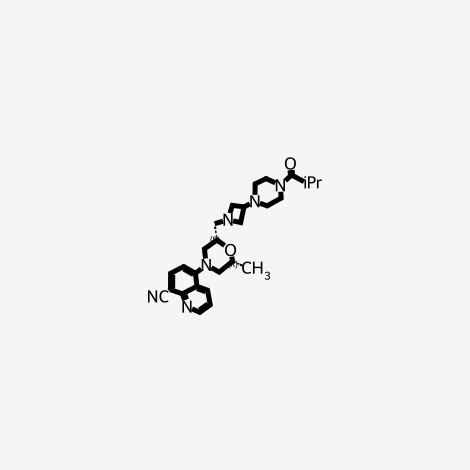 CC(C)C(=O)N1CCN(C2CN(C[C@H]3CN(c4ccc(C#N)c5ncccc45)C[C@@H](C)O3)C2)CC1